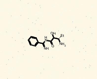 CC[C@H](N)C(O)C(=O)NC(=N)c1ccccc1